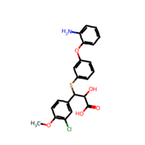 COc1ccc(C(Sc2cccc(Oc3ccccc3N)c2)C(O)C(=O)O)cc1Cl